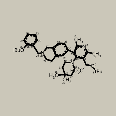 Cc1nc(C)c([C@H](OC(C)(C)C)C(=O)O)c(N2CCC(C)(C)CC2)c1-c1ccc2c(c1)CCN(Cc1ccccc1OCC(C)C)C2